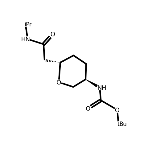 CC(C)NC(=O)C[C@@H]1CC[C@@H](NC(=O)OC(C)(C)C)CO1